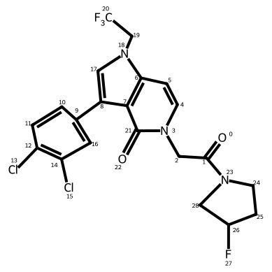 O=C(Cn1ccc2c(c(-c3ccc(Cl)c(Cl)c3)cn2CC(F)(F)F)c1=O)N1CCC(F)C1